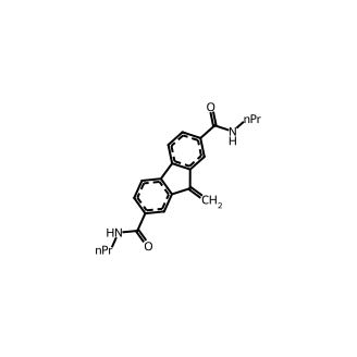 C=C1c2cc(C(=O)NCCC)ccc2-c2ccc(C(=O)NCCC)cc21